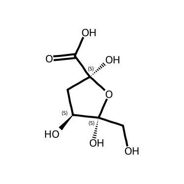 O=C(O)[C@]1(O)C[C@H](O)[C@](O)(CO)O1